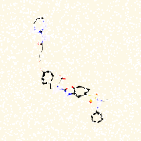 CN(c1ccccc1)S(=O)(=O)c1ccc2oc(N[C@@H](Cc3ccc(OCCCC(=O)NC4=NCCCN4)cc3)C(=O)O)nc2c1